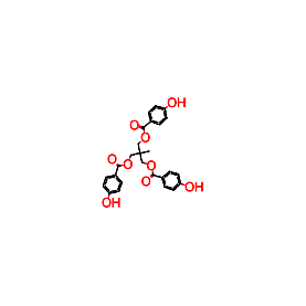 CC(COC(=O)c1ccc(O)cc1)(COC(=O)c1ccc(O)cc1)COC(=O)c1ccc(O)cc1